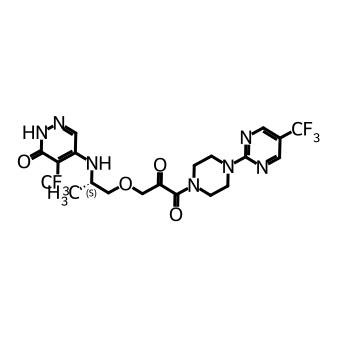 C[C@@H](COCC(=O)C(=O)N1CCN(c2ncc(C(F)(F)F)cn2)CC1)Nc1cn[nH]c(=O)c1C(F)(F)F